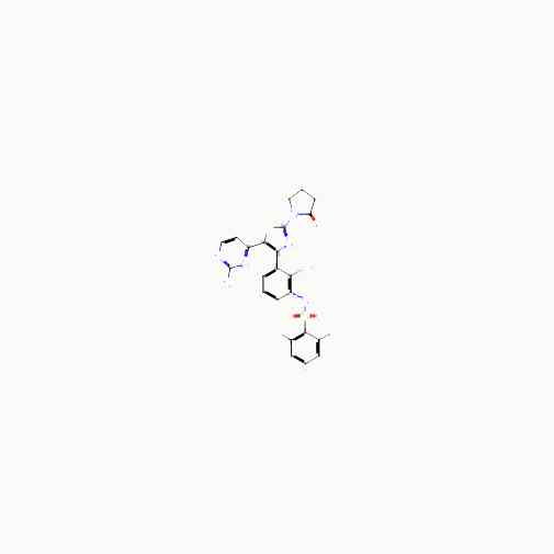 Nc1nccc(-c2sc(N3CCCC3=O)nc2-c2cccc(NS(=O)(=O)c3c(F)cccc3F)c2F)n1